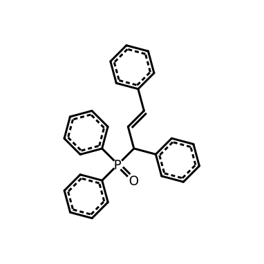 O=P(c1ccccc1)(c1ccccc1)C(/C=C/c1ccccc1)c1ccccc1